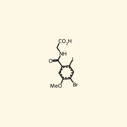 COc1cc(C(=O)NCC(=O)O)c(I)cc1Br